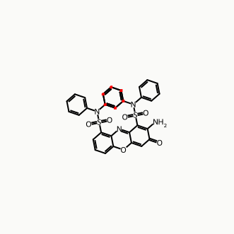 Nc1c(S(=O)(=O)N(c2ccccc2)c2ccccc2)c2nc3c(S(=O)(=O)N(c4ccccc4)c4ccccc4)cccc3oc-2cc1=O